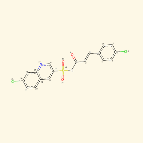 O=C(C=Cc1ccc(Cl)cc1)CS(=O)(=O)c1cnc2cc(Cl)ccc2c1